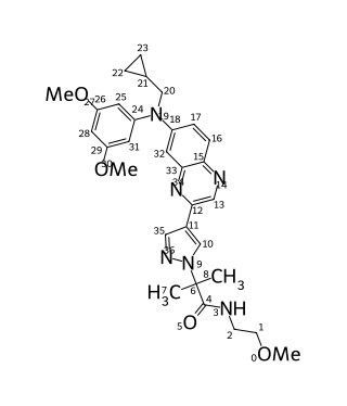 COCCNC(=O)C(C)(C)n1cc(-c2cnc3ccc(N(CC4CC4)c4cc(OC)cc(OC)c4)cc3n2)cn1